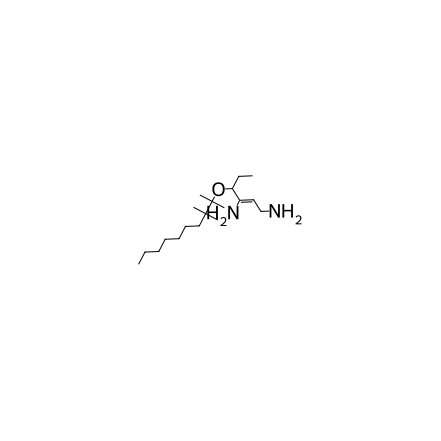 CCCCCCCC(C)(C)C(C)(C)OC(CC)C(N)=CCN